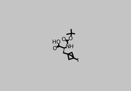 CC(C)(C)OC(=O)N[C@@H](CC12CC(I)(C1)C2)C(=O)O